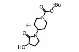 CC(C)(C)OC(=O)N1CC[C@@H](N2CC[C@@H](O)C2=O)[C@H](F)C1